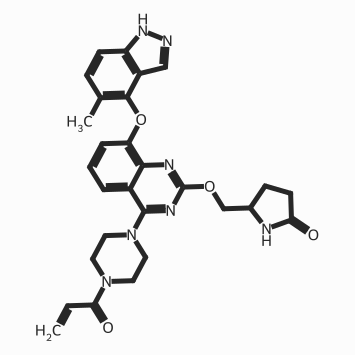 C=CC(=O)N1CCN(c2nc(OCC3CCC(=O)N3)nc3c(Oc4c(C)ccc5[nH]ncc45)cccc23)CC1